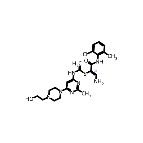 C=C(Nc1cc(N2CCN(CCO)CC2)nc(C)n1)S/C(=C\N)C(=O)Nc1c(C)cccc1Cl